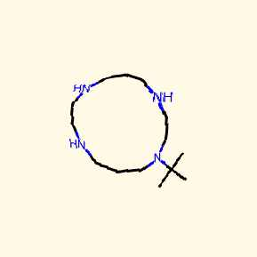 CC(C)(C)N1CCCNCCNCCCNCC1